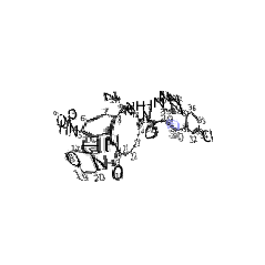 COC(=O)Nc1ccc2c(c1)N[C@@H](C(=O)N1CCOCC1)CCCC[C@H](NC(=O)/C=C/c1cc(Cl)ccc1-n1cnnn1)c1nc-2c(C#N)[nH]1